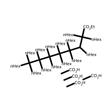 CC(=O)O.CC(=O)O.CC(=O)O.CC(=O)O.CCCCCCC(C(CCCCCC)(CCCCCC)C(=O)OCC)C(CCCCCC)(CCCCCC)C(CCCCCC)(CCCCCC)C(CCCCCC)(CCCCCC)C(CCCCCC)(CCCCCC)C(CCCCCC)(CCCCCC)CCCCCC